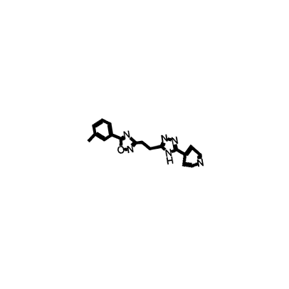 Cc1cccc(-c2nc(CCc3nnc(-c4ccncc4)[nH]3)no2)c1